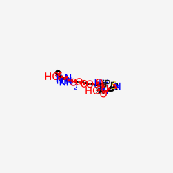 Cc1ncsc1-c1ccc(CNC(=O)[C@@H]2C[C@@H](O)CN2C(=O)[C@H](c2cc(CCCOCCOCCOCCOCCn3cc(-c4cc(-c5ccccc5O)nnc4N)cn3)no2)C(C)C)cc1